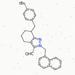 CC(C)(C)c1ccc(CC2CCCc3c2nn(Cc2cccc4ccccc24)c3C=O)cc1